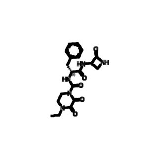 CCN1CCN(C(=O)N[C@H](Cc2ccccc2)C(=O)NC2CNC2=O)C(=O)C1=O